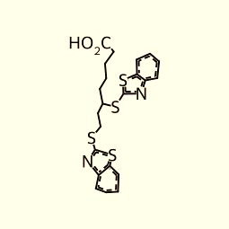 O=C(O)CCCCC(CCSc1nc2ccccc2s1)Sc1nc2ccccc2s1